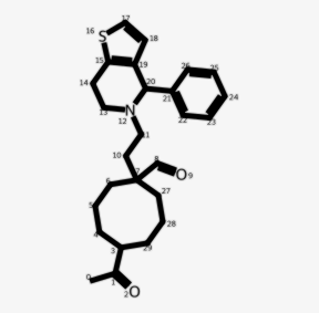 CC(=O)C1CCCC(C=O)(CCN2CCc3sccc3C2c2ccccc2)CCC1